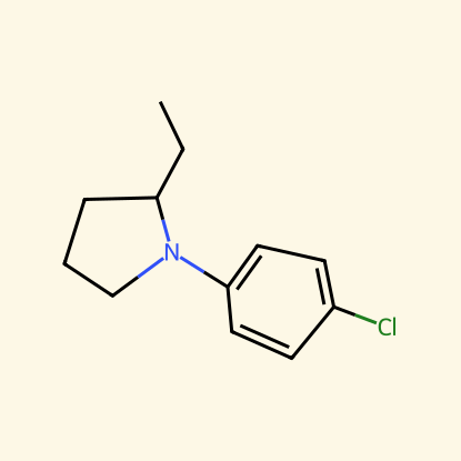 CCC1CCCN1c1ccc(Cl)cc1